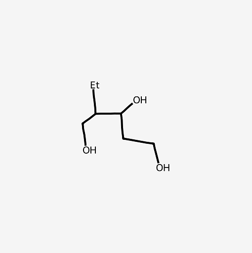 CCC(CO)C(O)CCO